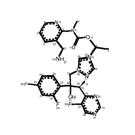 CC(OC(=O)N(C)c1ncccc1CN)[n+]1cnn(CC(O)(c2ccc(F)cc2F)[C@@H](C)c2ncncc2F)c1